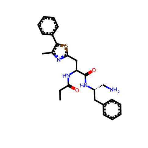 CCC(=O)N[C@@H](Cc1nc(C)c(-c2ccccc2)s1)C(=O)N[C@H](CN)Cc1ccccc1